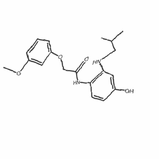 COc1cccc(OCC(=O)Nc2ccc(O)cc2NCC(C)C)c1